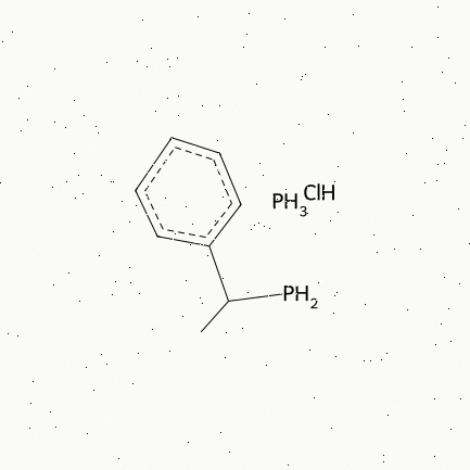 CC(P)c1ccccc1.Cl.P